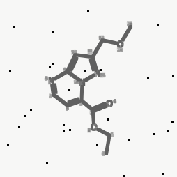 CCOC(=O)c1ccnc2cc(COC)nn12